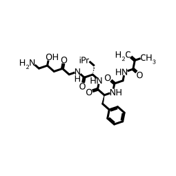 C=C(C)C(=O)NCC(=O)N[C@@H](Cc1ccccc1)C(=O)N[C@@H](CC(C)C)C(=O)NCC(=O)CC(O)CN